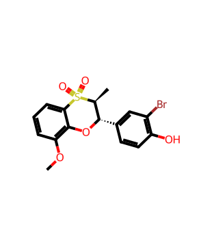 COc1cccc2c1O[C@@H](c1ccc(O)c(Br)c1)[C@H](C)S2(=O)=O